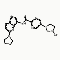 O=C(Nc1cnc2ccc(N3CCCC3)nn12)c1ncc(N2CCC(O)C2)cn1